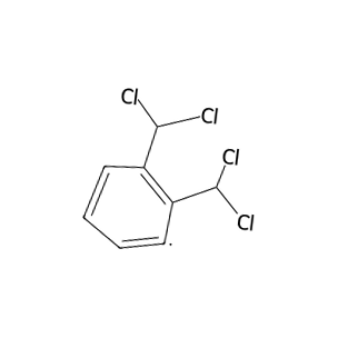 ClC(Cl)c1[c]cccc1C(Cl)Cl